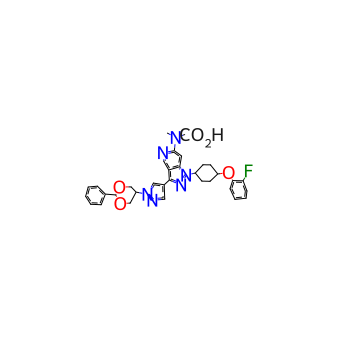 CN(C(=O)O)c1cc2c(cn1)c(-c1cnn(C3COC(c4ccccc4)OC3)c1)nn2C1CCC(Oc2ccccc2F)CC1